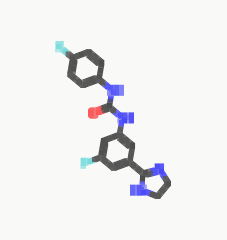 O=C(Nc1ccc(F)cc1)Nc1cc(F)cc(C2=NCCN2)c1